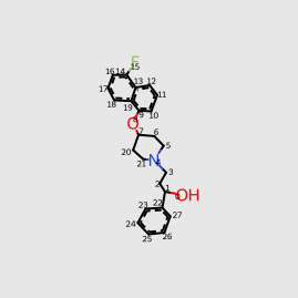 OC(CCN1CCC(Oc2cccc3c(F)cccc23)CC1)c1ccccc1